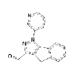 O=Cc1nn(-c2cccnc2)c2c1Cc1ccccc1-2